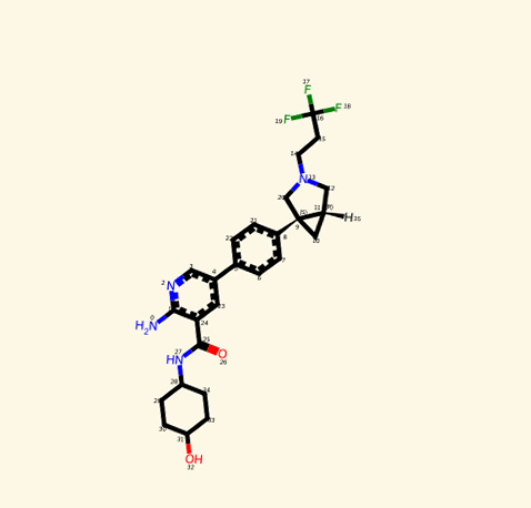 Nc1ncc(-c2ccc([C@]34C[C@H]3CN(CCC(F)(F)F)C4)cc2)cc1C(=O)NC1CCC(O)CC1